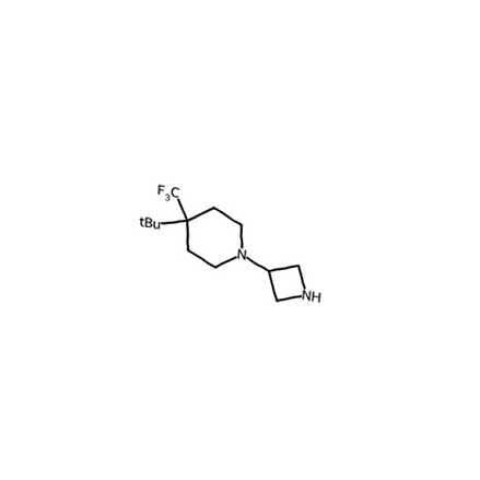 CC(C)(C)C1(C(F)(F)F)CCN(C2CNC2)CC1